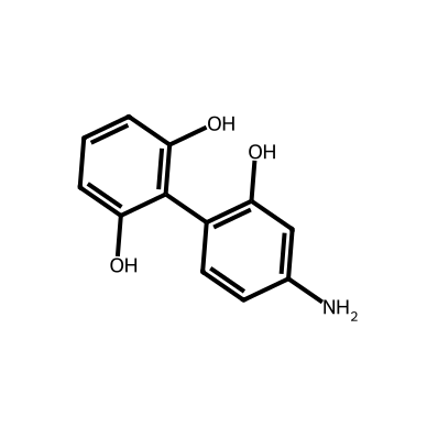 Nc1ccc(-c2c(O)cccc2O)c(O)c1